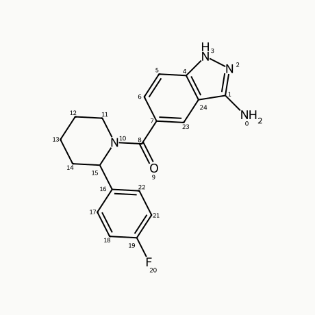 Nc1n[nH]c2ccc(C(=O)N3CCCCC3c3ccc(F)cc3)cc12